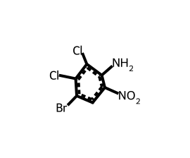 Nc1c([N+](=O)[O-])cc(Br)c(Cl)c1Cl